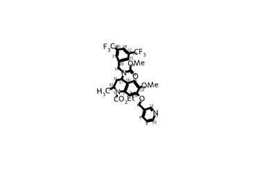 CCOC(=O)N1c2cc(OCc3cccnc3)c(OC)cc2C(N(Cc2cc(C(F)(F)F)cc(C(F)(F)F)c2)C(=O)OC)CC1C